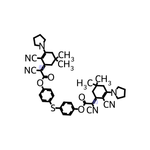 CC1(C)CC(N2CCCC2)=C(C#N)/C(=C(\C#N)C(=O)Oc2ccc(Sc3ccc(OC(=O)/C(C#N)=C4\CC(C)(C)CC(N5CCCC5)=C4C#N)cc3)cc2)C1